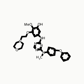 COc1c(O)cc(Nc2ncnc(N(C)c3ccc(Oc4ccccc4)cc3)n2)cc1OCCN1CCOCC1